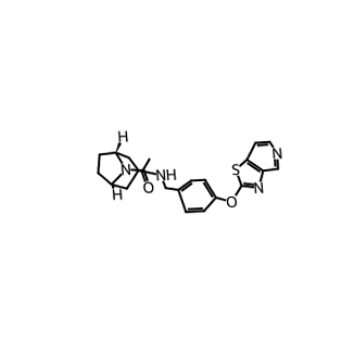 CC(=O)N1[C@@H]2CC[C@H]1CC(NCc1ccc(Oc3nc4cnccc4s3)cc1)C2